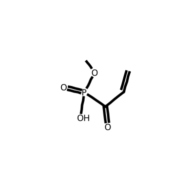 C=CC(=O)P(=O)(O)OC